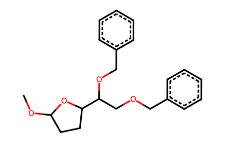 COC1CCC(C(COCc2ccccc2)OCc2ccccc2)O1